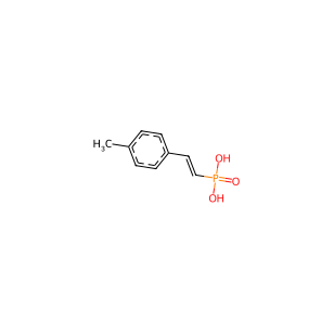 Cc1ccc(C=CP(=O)(O)O)cc1